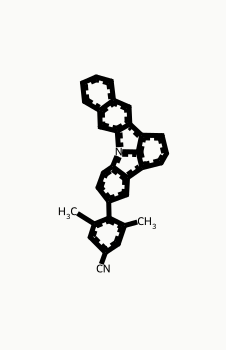 Cc1cc(C#N)cc(C)c1-c1ccc2c(c1)c1cccc3c4cc5ccccc5cc4n2c13